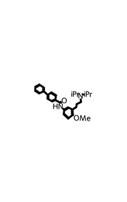 COc1ccc(NC(=O)c2ccc(-c3ccccc3)cc2)cc1CCCN(C(C)C)C(C)C